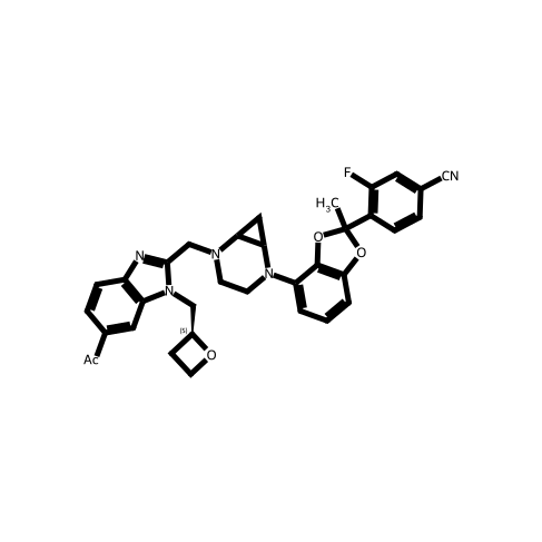 CC(=O)c1ccc2nc(CN3CCN(c4cccc5c4OC(C)(c4ccc(C#N)cc4F)O5)C4CC43)n(C[C@@H]3CCO3)c2c1